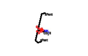 CCCCC/C=C\C/C=C\C/C=C\CCCCCCC(=O)O[C@H](COC(=O)CCCCCCCCCCC/C=C\C/C=C\CCCCC)COP(=O)(O)OC[C@H](N)C(=O)O